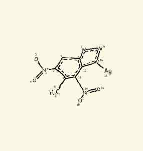 Cc1c([N+](=O)[O-])cc2nn[n]([Ag])c2c1[N+](=O)[O-]